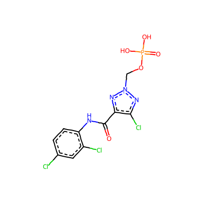 O=C(Nc1ccc(Cl)cc1Cl)c1nn(COP(=O)(O)O)nc1Cl